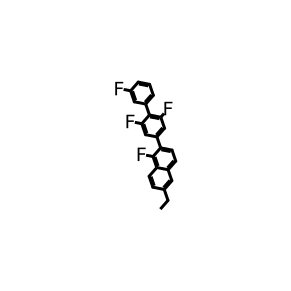 CCc1ccc2c(F)c(-c3cc(F)c(-c4cccc(F)c4)c(F)c3)ccc2c1